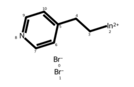 [Br-].[Br-].[In+2][CH2]Cc1ccncc1